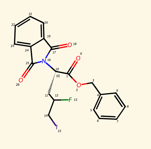 O=C(OCc1ccccc1)[C@H](CC(F)CI)N1C(=O)c2ccccc2C1=O